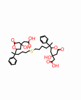 CC(CCCCSCCCCC(C)(c1ccccc1)C1CC(O)(CC(=O)O)CC(=O)O1)(c1ccccc1)C1CC(O)(CC(=O)O)CC(=O)O1